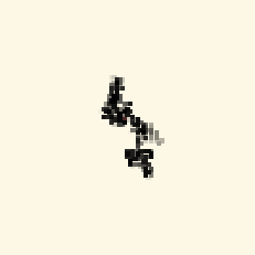 CC[C@@]1(OC(=O)OCc2ccc(NC(=O)[C@@H](N)CCCCNC(c3ccccc3)(c3ccccc3)c3ccc(OC)cc3)cc2)C(=O)OCc2c1cc1n(c2=O)Cc2cc3cc4c(cc3nc2-1)OCO4